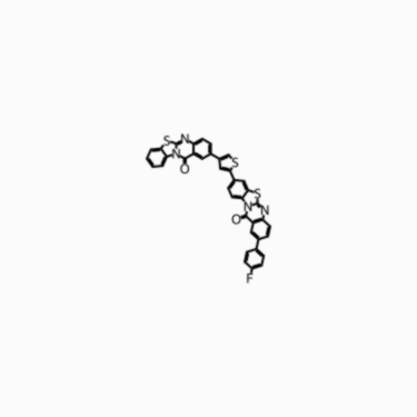 O=c1c2cc(-c3csc(-c4ccc5c(c4)sc4nc6ccc(-c7ccc(F)cc7)cc6c(=O)n45)c3)ccc2nc2sc3ccccc3n12